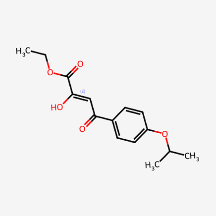 CCOC(=O)/C(O)=C/C(=O)c1ccc(OC(C)C)cc1